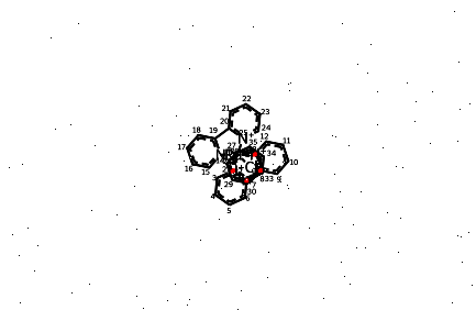 [Cl][Ru]123([n+]4ccccc4-c4cccc[n+]41)([n+]1ccccc1-c1cccc[n+]12)[n+]1ccccc1-c1cccc[n+]13